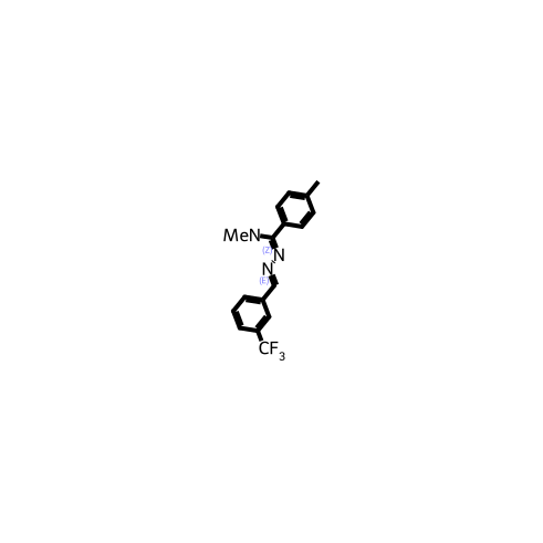 CN/C(=N\N=C\c1cccc(C(F)(F)F)c1)c1ccc(C)cc1